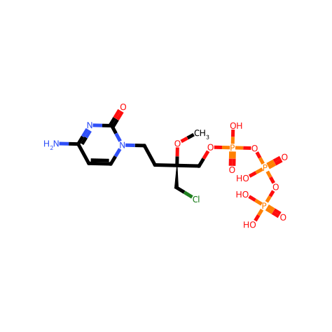 CO[C@@](CCl)(CCn1ccc(N)nc1=O)COP(=O)(O)OP(=O)(O)OP(=O)(O)O